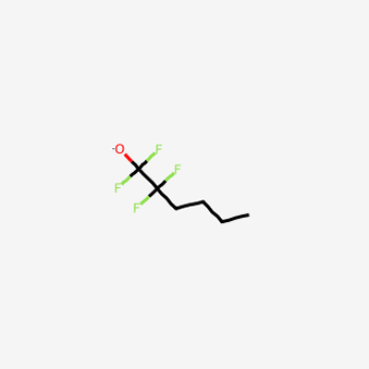 CCCCC(F)(F)C([O])(F)F